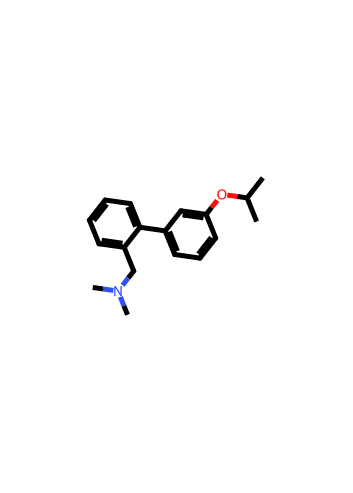 CC(C)Oc1cccc(-c2ccccc2CN(C)C)c1